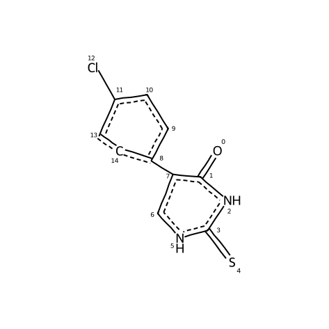 O=c1[nH]c(=S)[nH]cc1-c1ccc(Cl)cc1